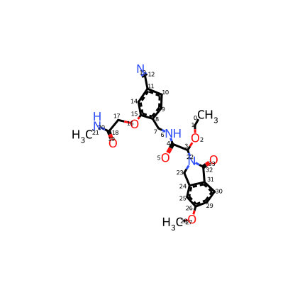 CCOC(C(=O)NCc1ccc(C#N)cc1OCC(=O)NC)N1Cc2cc(OC)ccc2C1=O